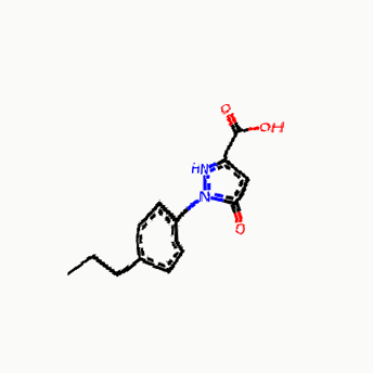 CCCc1ccc(-n2[nH]c(C(=O)O)cc2=O)cc1